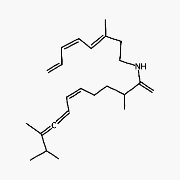 C=C/C=C\C=C(/C)CCNC(=C)C(C)CC/C=C\C=C=C(C)C(C)C